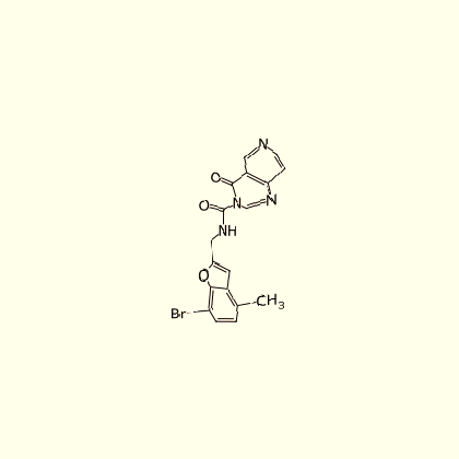 Cc1ccc(Br)c2oc(CNC(=O)n3cnc4ccncc4c3=O)cc12